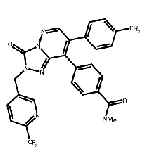 CNC(=O)c1ccc(-c2c(-c3ccc(C)cc3)cnn3c(=O)n(Cc4ccc(C(F)(F)F)nc4)nc23)cc1